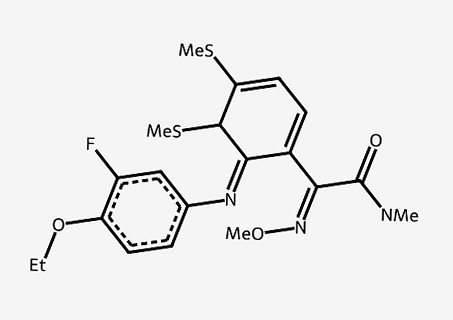 CCOc1ccc(N=C2C(/C(=N\OC)C(=O)NC)=CC=C(SC)C2SC)cc1F